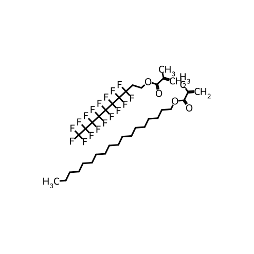 C=C(C)C(=O)OCCC(F)(F)C(F)(F)C(F)(F)C(F)(F)C(F)(F)C(F)(F)C(F)(F)C(F)(F)F.C=C(C)C(=O)OCCCCCCCCCCCCCCCCCC